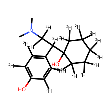 [2H]c1c([2H])c(C([2H])(C([2H])([2H])N(C)C)C2(O)C([2H])([2H])C([2H])([2H])C([2H])([2H])C([2H])([2H])C2([2H])[2H])c([2H])c([2H])c1O